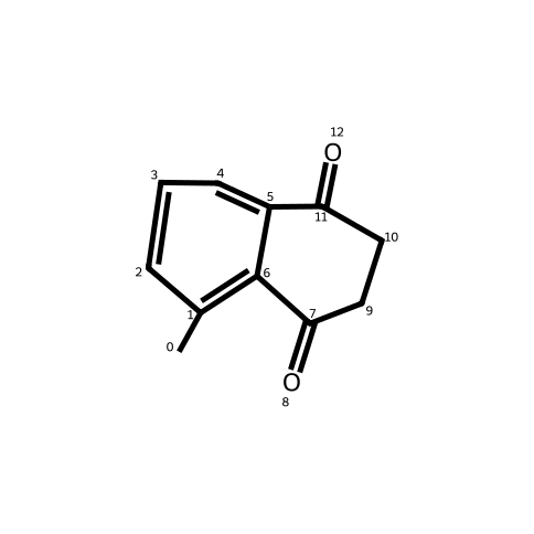 Cc1cccc2c1C(=O)CCC2=O